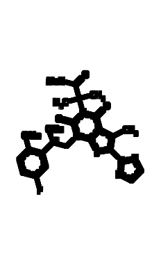 CNC(=O)C(C)(C)n1c(=O)c2c(C)c(-n3nccn3)sc2n(C[C@H](OCC(C)C)c2cc(F)ccc2OC)c1=O